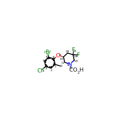 Cc1cc(Cl)cc(Br)c1O[C@@H]1CN(C(=O)O)CC(F)(F)C1